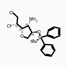 CC(C)(C)[Si](O[C@H]1CO[C@H]([C@H](Cl)CCl)[C@@H]1N)(c1ccccc1)c1ccccc1